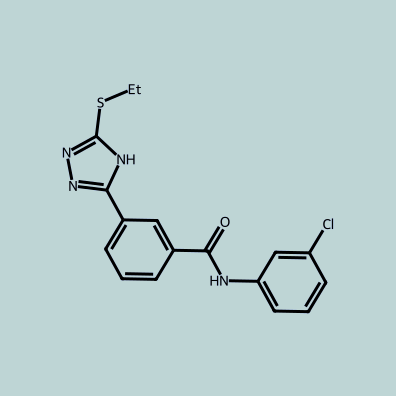 CCSc1nnc(-c2cccc(C(=O)Nc3cccc(Cl)c3)c2)[nH]1